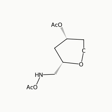 CC(=O)ONC[C@@H]1C[C@H](OC(C)=O)CCO1